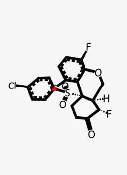 O=C1CC[C@@]2(S(=O)(=O)c3ccc(Cl)cc3)c3c(F)ccc(F)c3OC[C@H]2[C@@H]1F